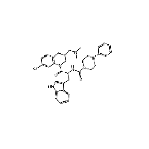 CN(C)CC1Cc2ccc(Cl)cc2N(C(=O)C(Cc2c[nH]c3ccccc23)NC(=O)N2CCN(c3ccccc3)CC2)C1